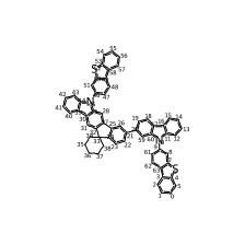 c1ccc2c(c1)sc1cc(-n3c4ccccc4c4ccc(-c5ccc6c(c5)-c5cc7c(cc5C65CCCCC5)c5ccccc5n7-c5ccc6c(c5)sc5ccccc56)cc43)ccc12